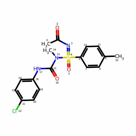 CC(=O)N=S(=O)(c1ccc(C)cc1)N(C)C(=O)Nc1ccc(Cl)cc1